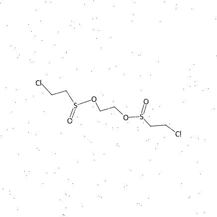 O=S(CCCl)OCCOS(=O)CCCl